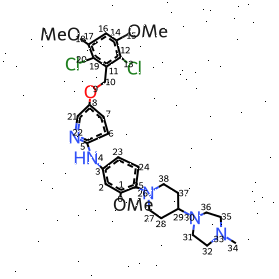 COc1cc(Nc2ccc(OCc3c(Cl)c(OC)cc(OC)c3Cl)cn2)ccc1N1CCC(N2CCN(C)CC2)CC1